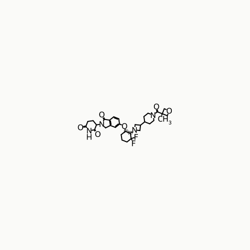 CC1(C(=O)N2CCC(C3CN([C@@H]4[C@H](Oc5ccc6c(c5)CN(C5CCC(=O)NC5=O)C6=O)CCCC4(F)F)C3)CC2)COC1